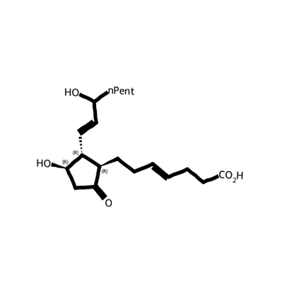 CCCCCC(O)C=C[C@H]1[C@H](O)CC(=O)[C@@H]1CCC=CCCC(=O)O